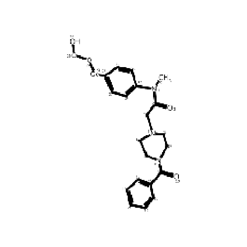 CN(C(=O)CN1CCN(C(=O)c2ccccc2)CC1)c1cc[c]([Ge][O]OO)cc1